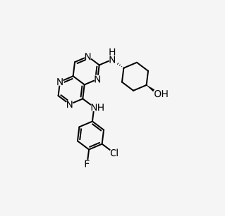 O[C@H]1CC[C@H](Nc2ncc3ncnc(Nc4ccc(F)c(Cl)c4)c3n2)CC1